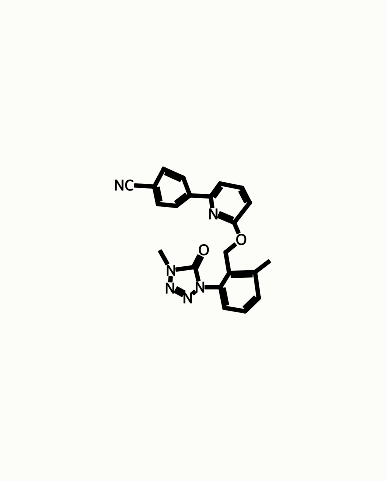 Cc1cccc(-n2nnn(C)c2=O)c1COc1cccc(-c2ccc(C#N)cc2)n1